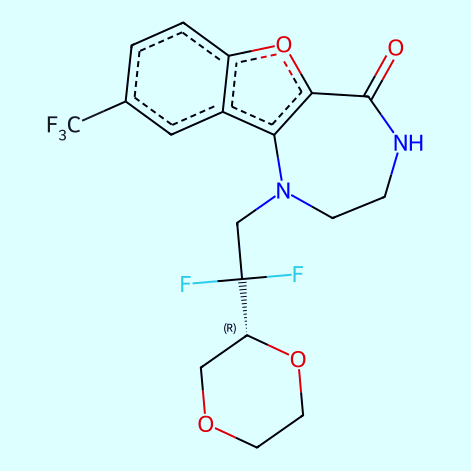 O=C1NCCN(CC(F)(F)[C@H]2COCCO2)c2c1oc1ccc(C(F)(F)F)cc21